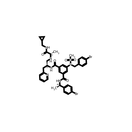 C[C@H](NC[C@H](Cc1ccccn1)NC(=O)c1cc(C(=O)N[C@H](C)c2ccc(Br)cc2)cc(N(Cc2ccc(Br)cc2)S(C)(=O)=O)c1)C(=O)NCC1CC1